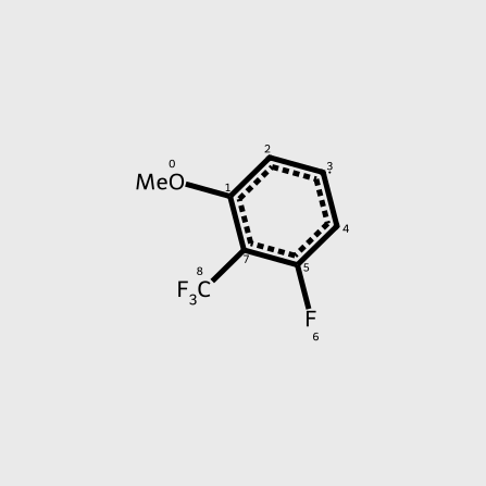 COc1c[c]cc(F)c1C(F)(F)F